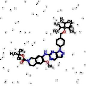 COc1cc2c(cc1Nc1ncc3cnn(C4CCC(CO[Si](C(C)C)(C(C)C)C(C)C)CC4)c3n1)CN(C(=O)OC(C)(C)C)CC2